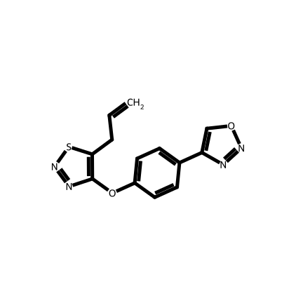 C=CCc1snnc1Oc1ccc(-c2conn2)cc1